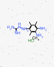 C.Cc1c(C)c(C)c(N)c(N)c1C.Cl.N=C(N)NN